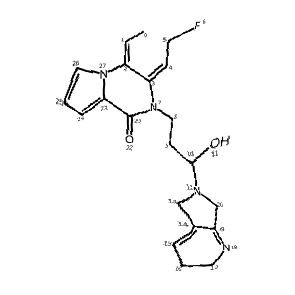 C/C=c1\c(=C/CF)n(CCC(O)N2CC3=CCCN=C3C2)c(=O)c2cccn12